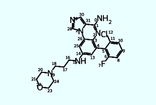 Nc1nc2c(-c3c(F)cccc3Cl)cc(NCCCN3CCOCC3)cc2n2cncc12